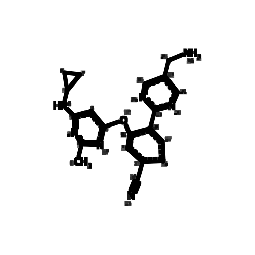 Cc1nc(NC2CC2)cc(Oc2cc(C#N)ccc2-c2ncc(CN)cn2)n1